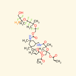 C=CC(=O)OCC(COC(=O)C=C)(COC(=O)C=C)OC(C)(C)C(=O)NCC1CC(C)(C)CC(C)(NC(=O)OCC(F)(F)OC(C)(C)C(F)(F)C(F)(F)OC(C)(P)C(F)(F)CO)C1